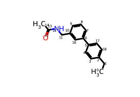 CCc1ccc(-c2cccc(CNC(C)=O)c2)cc1